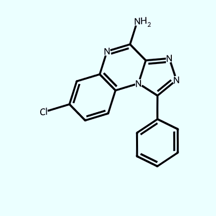 Nc1nc2cc(Cl)ccc2n2c(-c3ccccc3)nnc12